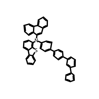 c1ccc(-c2cccc(-c3ccc(-c4ccc(N(c5cc6ccccc6c6ccccc56)c5cccc6c5sc5ccccc56)cc4)cc3)c2)cc1